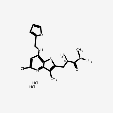 Cc1c(C[C@@H](N)C(=O)N(C)C)sc2c(NCc3ccco3)cc(Cl)nc12.Cl.Cl